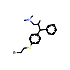 CC(C)CCSc1ccc(C(c2ccccc2)C(C)CN(C)C)cc1